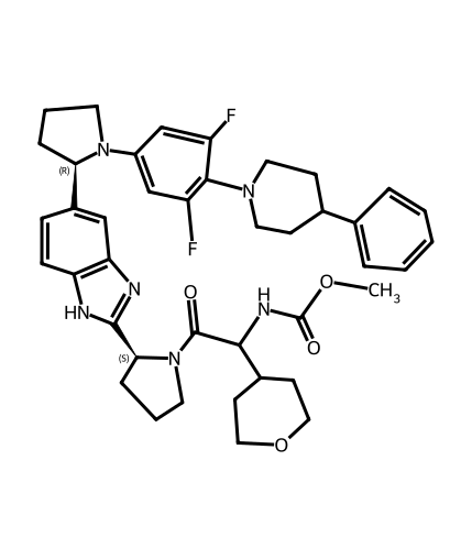 COC(=O)NC(C(=O)N1CCC[C@H]1c1nc2cc([C@H]3CCCN3c3cc(F)c(N4CCC(c5ccccc5)CC4)c(F)c3)ccc2[nH]1)C1CCOCC1